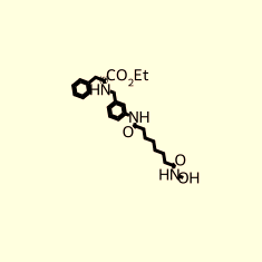 CCOC(=O)[C@H](Cc1ccccc1)NCc1cccc(NC(=O)CCCCCCC(=O)NO)c1